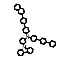 c1ccc(-c2ccc(-c3ccc(N(c4ccc(-c5ccc(-c6ccc7ccccc7c6)cc5)cc4)c4cccc(-n5c6ccccc6c6ccccc65)c4)cc3)cc2)cc1